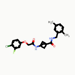 Cc1ccc(C)c(CNC(=O)C23CC(NC(=O)COc4ccc(Cl)c(F)c4)(C2)C3)c1